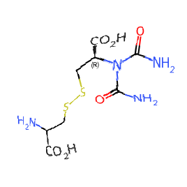 NC(=O)N(C(N)=O)[C@@H](CSSCC(N)C(=O)O)C(=O)O